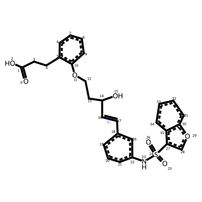 O=C(O)CCc1ccccc1OCCC(O)/C=C/c1cccc(NS(=O)(=O)c2coc3ccccc23)c1